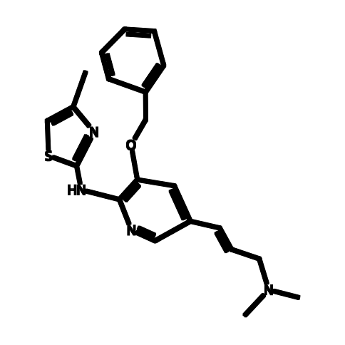 Cc1csc(Nc2ncc(C=CCN(C)C)cc2OCc2ccccc2)n1